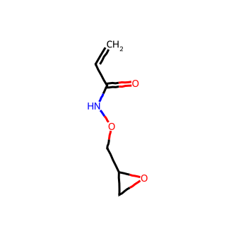 C=CC(=O)NOCC1CO1